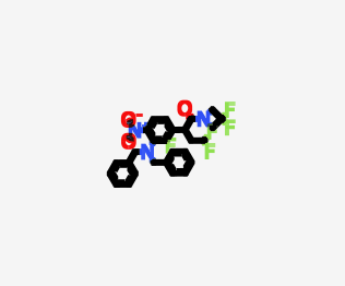 O=C(C(CC(F)F)c1ccc([N+](=O)[O-])c(N(Cc2ccccc2)Cc2ccccc2)c1F)N1CC(F)(F)C1